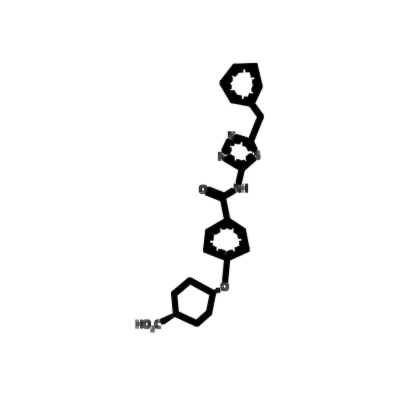 O=C(Nc1nnc(Cc2ccccc2)s1)c1ccc(O[C@H]2CC[C@H](C(=O)O)CC2)cc1